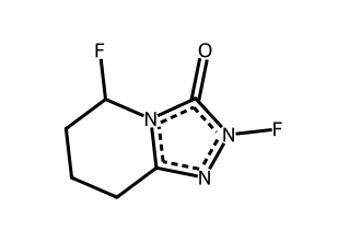 O=c1n(F)nc2n1C(F)CCC2